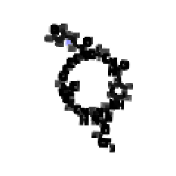 CC1(C)CNC(=O)c2ccc(cc2)Nc2nc(nc(OCC(F)(F)F)n2)NCc2ccc(c(Cl)c2)OCCCN(C(=O)/C=C/c2ccoc2)C1